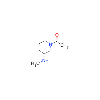 CNC1CCCN(C(C)=O)C1